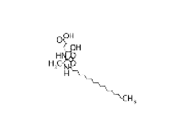 CCCCCCCCCCCCCCCCC(=O)N[C@@H](C)C(=O)N[C@H](CCC(=O)O)C(=O)O